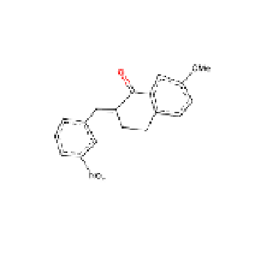 COc1ccc2c(c1)C(=O)/C(=C/c1cccc([N+](=O)[O-])c1)CC2